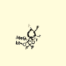 CCO[Si](OC)(OCC)C(F)(F)Oc1ccc(F)c(F)c1F